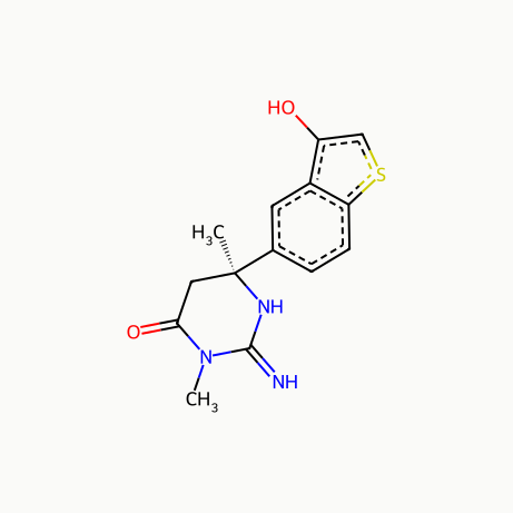 CN1C(=N)N[C@](C)(c2ccc3scc(O)c3c2)CC1=O